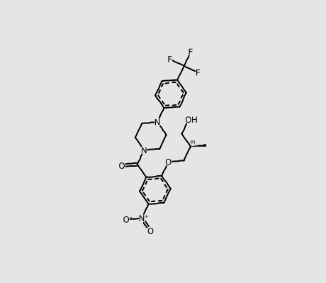 C[C@H](CO)COc1ccc([N+](=O)[O-])cc1C(=O)N1CCN(c2ccc(C(F)(F)F)cc2)CC1